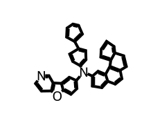 c1ccc(-c2ccc(N(c3ccc4oc5ccncc5c4c3)c3ccc4ccc5ccc6ccccc6c5c4c3)cc2)cc1